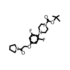 CC(C)(C)OC(=O)N1CCN(c2c(F)cc(OCC(=O)N3CCCC3)cc2F)CC1